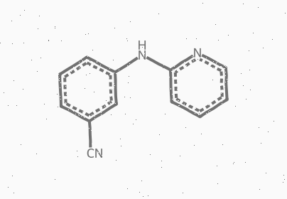 N#Cc1cccc(Nc2ccccn2)c1